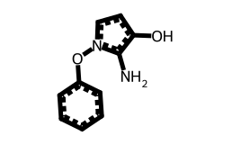 Nc1c(O)ccn1Oc1ccccc1